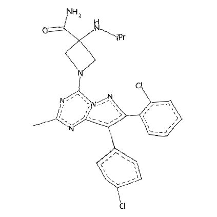 Cc1nc(N2CC(NC(C)C)(C(N)=O)C2)n2nc(-c3ccccc3Cl)c(-c3ccc(Cl)cc3)c2n1